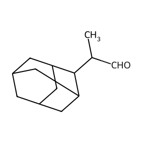 CC(C=O)C1C2CC3CC(C2)CC1C3